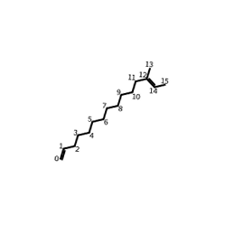 C=CCCCCCCCCCCC(C)=CC